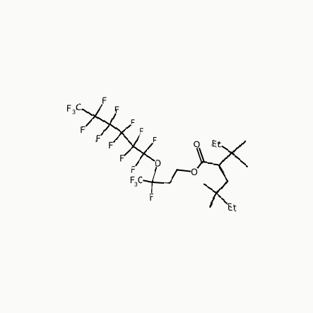 CCC(C)(C)CC(C(=O)OCCC(F)(OC(F)(F)C(F)(F)C(F)(F)C(F)(F)C(F)(F)C(F)(F)F)C(F)(F)F)C(C)(C)CC